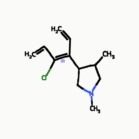 C=C/C(Cl)=C(\C=C)C1CN(C)CC1C